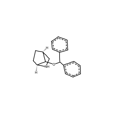 c1ccc(C(OC2[C@H]3CC[C@@H]2NC3)c2ccccc2)cc1